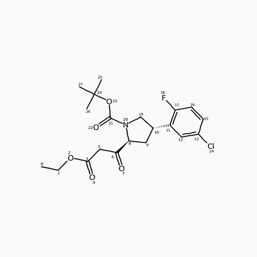 CCOC(=O)CC(=O)[C@@H]1C[C@@H](c2cc(Cl)ccc2F)CN1C(=O)OC(C)(C)C